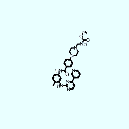 Cc1ccc(NC(=O)c2ccc(N3CCN(CNC(=O)OC(C)C)CC3)cc2)cc1Nc1nccc(-c2cccnc2)n1